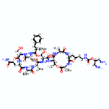 CC[C@@H](C)[C@@H](NC(=O)[C@@H](CCC(N)=O)NC(=O)[C@H](CO)NC(=O)[C@@H](NC(=O)[C@@H](Cc1ccccc1)NC)[C@@H](C)CC)C(=O)N[C@H](C(=O)N[C@@H](CO)C(=O)N[C@H]1C(=O)N[C@@H](C)C(=O)N[C@@H](CCCCNC(=O)OC(CN)CN)C(=O)N[C@@H]([C@@H](C)CC)C(=O)O[C@H]1C)[C@@H](C)CC